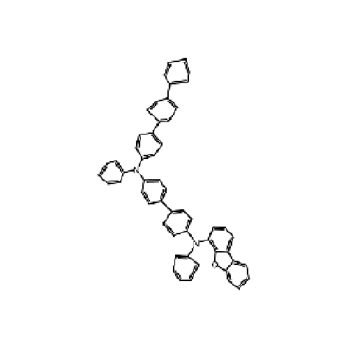 c1ccc(-c2ccc(-c3ccc(N(c4ccccc4)c4ccc(-c5ccc(N(c6ccccc6)c6cccc7c6oc6ccccc67)cc5)cc4)cc3)cc2)cc1